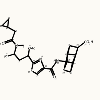 CC(=O)OC(CC(C(C)C)N(C)C(=O)CC1CC1)c1nc(C(=O)NC23C4C5C2C2N3C4C52C(=O)O)cs1